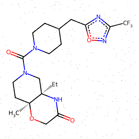 CC[C@@]12CN(C(=O)N3CCC(Cc4nc(C(F)(F)F)no4)CC3)CC[C@]1(C)OCC(=O)N2